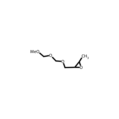 COCOCOCC1OC1C